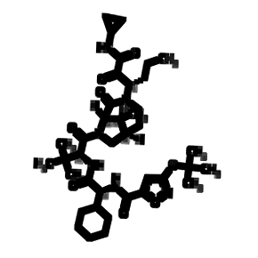 CCC[C@@H](C(=O)C(=O)NC1CC1)N1CC[C@H]2CN(C(=O)[C@@H](NC(=O)[C@@H](NC(=O)c3cc(OC(C)(C)C)no3)C3CCCCC3)C(C)(C)C)[C@H](C1=O)[C@H]2C